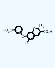 O=C(O)C1=Cc2cc(Cl)c(Oc3cccc(C(=O)O)c3)cc2O[C@@H]1C(F)(F)F